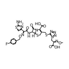 CON=C(Cn1nnnc1SCC1=C(C(=O)O)N2C(=O)C(NC(=O)C(=NOCc3ccc(F)cc3)c3csc(N)n3)[C@@H]2SC1)C(=O)O